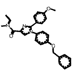 CCN(C)C(=O)c1cn(-c2ccc(OCc3ccccc3)cc2)c(-c2ccc(OC)cc2)n1